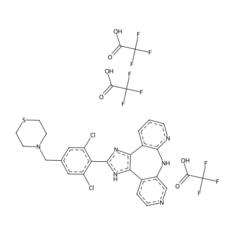 Clc1cc(CN2CCSCC2)cc(Cl)c1-c1nc2c([nH]1)-c1ccncc1Nc1ncccc1-2.O=C(O)C(F)(F)F.O=C(O)C(F)(F)F.O=C(O)C(F)(F)F